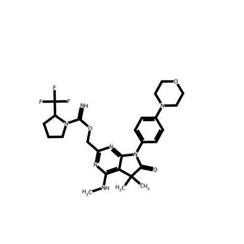 CNc1nc(COC(=N)N2CCCC2C(F)(F)F)nc2c1C(C)(C)C(=O)N2c1ccc(N2CCOCC2)cc1